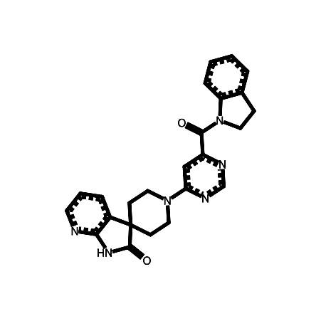 O=C(c1cc(N2CCC3(CC2)C(=O)Nc2ncccc23)ncn1)N1CCc2ccccc21